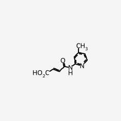 Cc1ccnc(NC(=O)C=CC(=O)O)c1